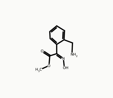 COC(=O)C(=NO)c1ccccc1CN